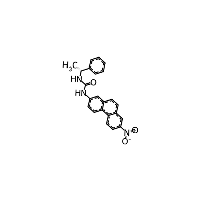 C[C@@H](NC(=O)Nc1ccc2c(ccc3cc([N+](=O)[O-])ccc32)c1)c1ccccc1